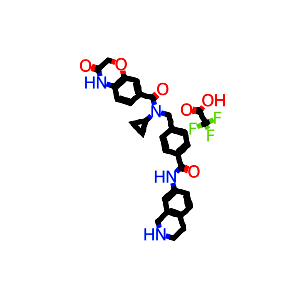 O=C(O)C(F)(F)F.O=C1COc2cc(C(=O)N(Cc3ccc(C(=O)Nc4ccc5c(c4)CNCC5)cc3)C3CC3)ccc2N1